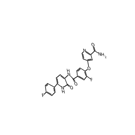 NC(=O)c1cc(Oc2ccc(C(=O)Nc3ccc(-c4ccc(F)cc4)[nH]c3=O)cc2F)ccn1